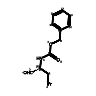 CC(C)C[C@H]([C]=O)NC(=O)OCc1ccccc1